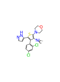 [C-]#[N+]c1c(N2CCOCC2)sc(-c2ccn[nH]2)c1-c1ccc(Cl)cc1Cl